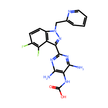 Nc1nc(-c2nn(Cc3ccccn3)c3ccc(F)c(F)c23)nc(N)c1NC(=O)O